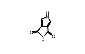 O=C1NC(=O)c2c[nH]cc21